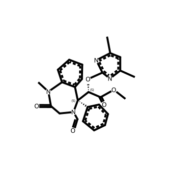 COC(=O)[C@@H](Oc1nc(C)cc(C)n1)[C@]1(c2ccccc2)c2ccccc2N(C)C(=O)CN1C=O